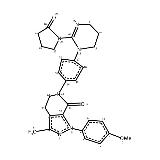 COc1ccc(-n2nc(C(F)(F)F)c3c2C(=O)N(c2ccc(N4CCCN=C4N4CCCC4=O)cc2)CC3)cc1